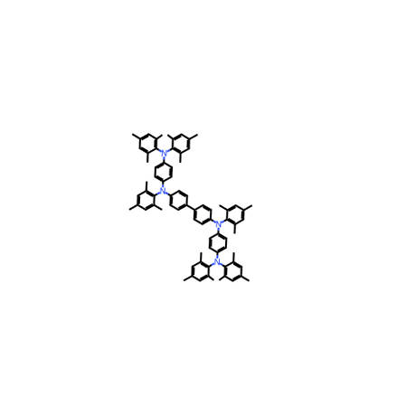 Cc1cc(C)c(N(c2ccc(-c3ccc(N(c4ccc(N(c5c(C)cc(C)cc5C)c5c(C)cc(C)cc5C)cc4)c4c(C)cc(C)cc4C)cc3)cc2)c2ccc(N(c3c(C)cc(C)cc3C)c3c(C)cc(C)cc3C)cc2)c(C)c1